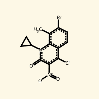 Cc1c(Br)ccc2c(Cl)c([N+](=O)[O-])c(=O)n(C3CC3)c12